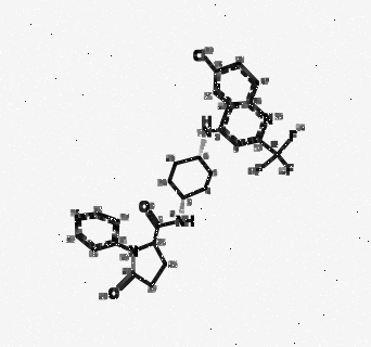 O=C(N[C@H]1CC[C@@H](Nc2cc(C(F)(F)F)nc3ccc(Cl)cc23)CC1)C1CCC(=O)N1c1ccccc1